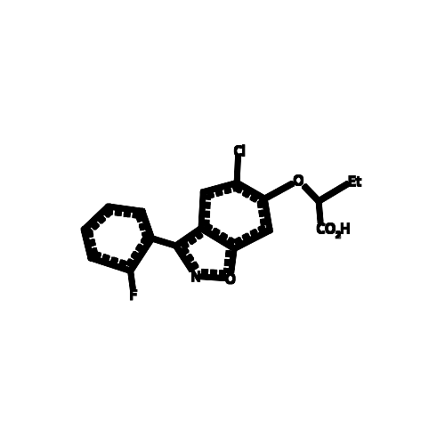 CCC(Oc1cc2onc(-c3ccccc3F)c2cc1Cl)C(=O)O